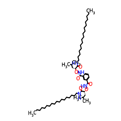 CCCCCCCCCCCCCCCCCCNC(=O)[C@@H](CC(C)C)ONC(=O)c1cccc(C(=O)NO[C@H](CC(C)C)C(=O)NCCCCCCCCCCCCCCCCCC)c1